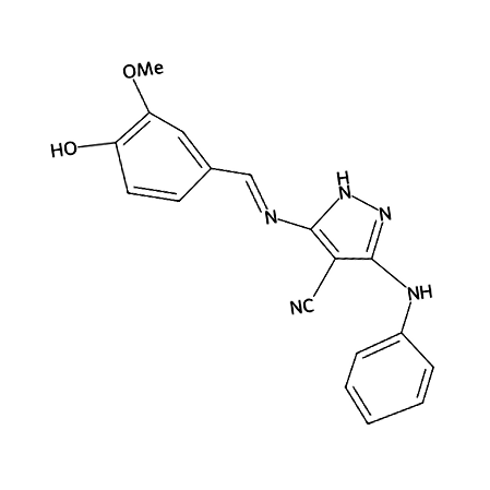 COc1cc(/C=N/c2[nH]nc(Nc3ccccc3)c2C#N)ccc1O